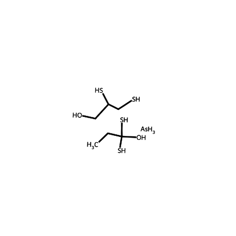 CCC(O)(S)S.OCC(S)CS.[AsH3]